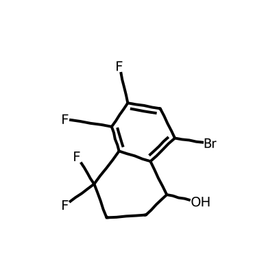 OC1CCC(F)(F)c2c(F)c(F)cc(Br)c21